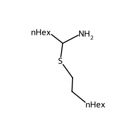 CCCCCCCCSC(N)CCCCCC